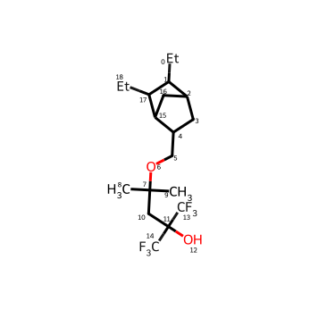 CCC1C2CC(COC(C)(C)CC(O)(C(F)(F)F)C(F)(F)F)C(C2)C1CC